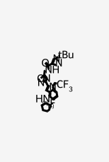 CC(C)(C)n1cc(C(=O)NCc2nc(-c3cc4c(N[C@@H]5CCCC[C@@H]5F)cccc4n3CC(F)(F)F)no2)cn1